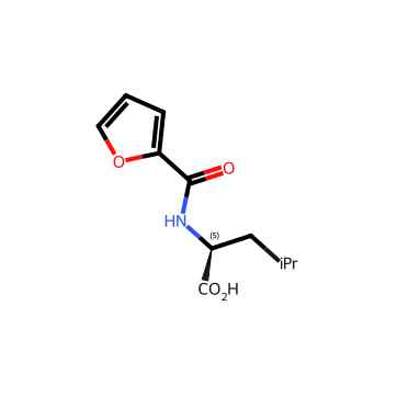 CC(C)C[C@H](NC(=O)c1ccco1)C(=O)O